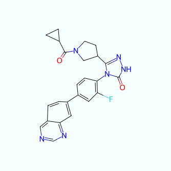 O=C(C1CC1)N1CCC(c2n[nH]c(=O)n2-c2ccc(-c3ccc4cncnc4c3)cc2F)C1